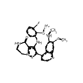 CNc1cc2c(-c3nn4c(c3Nc3cccc(F)c3OC)C(=O)NCC4)ccnc2cc1OC